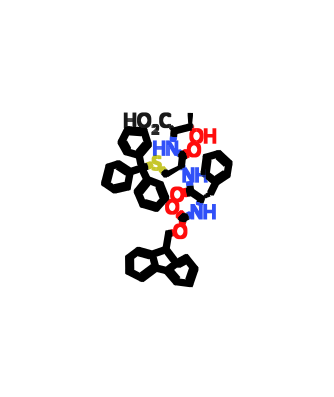 C[C@@H](O)[C@H](NC(=O)[C@H](CSC(c1ccccc1)(c1ccccc1)c1ccccc1)NC(=O)[C@H](Cc1ccccc1)NC(=O)OCC1c2ccccc2-c2ccccc21)C(=O)O